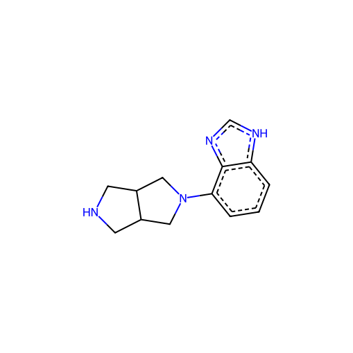 c1cc(N2CC3CNCC3C2)c2nc[nH]c2c1